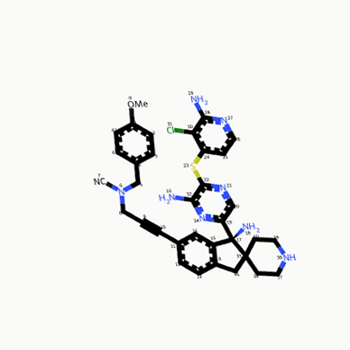 COc1ccc(CN(C#N)CC#Cc2ccc3c(c2)[C@](N)(c2cnc(Sc4ccnc(N)c4Cl)c(N)n2)C2(CCNCC2)C3)cc1